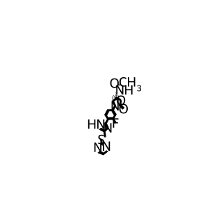 CC(=O)NC[C@H]1CN(c2ccc(-c3nc(CSc4ncccn4)c[nH]3)c(F)c2)C(=O)O1